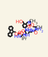 C#CCOC(=O)N(C)Cc1cc(NC(=O)[C@H](CCCNC(N)=O)NC(=O)[C@@H](NC(=O)OCC2c3ccccc3-c3ccccc32)C(C)C)ccc1CO